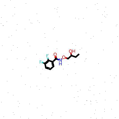 CCC(O)CONC(=O)c1cccc(F)c1F